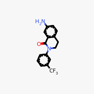 Nc1ccc2c(c1)C(=O)N(c1cccc(C(F)(F)F)c1)CC2